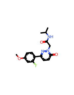 COc1ccc(-c2ccc(=O)n(CC(=O)NC(C)C)n2)c(F)c1